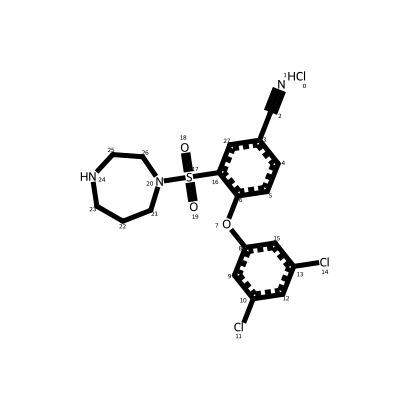 Cl.N#Cc1ccc(Oc2cc(Cl)cc(Cl)c2)c(S(=O)(=O)N2CCCNCC2)c1